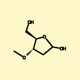 CO[C@H]1CC(O)O[C@@H]1CO